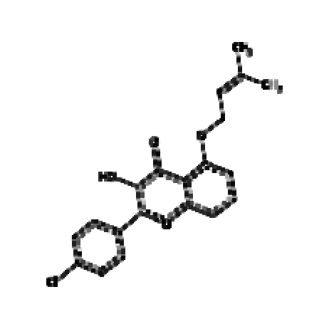 CC(C)=CCOc1cccc2oc(-c3ccc(Cl)cc3)c(O)c(=O)c12